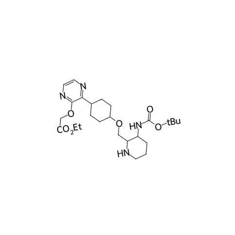 CCOC(=O)COc1nccnc1C1CCC(OCC2NCCCC2NC(=O)OC(C)(C)C)CC1